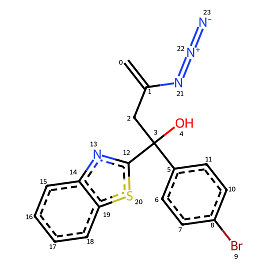 C=C(CC(O)(c1ccc(Br)cc1)c1nc2ccccc2s1)N=[N+]=[N-]